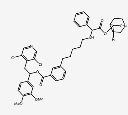 COc1ccc(C(Cc2c(Cl)cncc2Cl)OC(=O)c2cccc(CCCCCNC(C(=O)O[C@H]3CN4CCC3CC4)c3ccccc3)c2)cc1OC